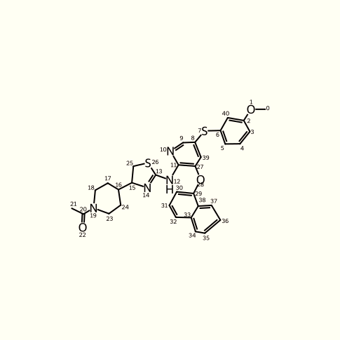 COc1cccc(Sc2cnc(NC3=NC(C4CCN(C(C)=O)CC4)CS3)c(Oc3cccc4ccccc34)c2)c1